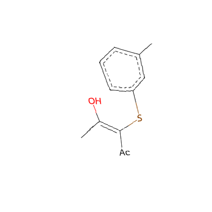 CC(=O)C(Sc1cccc(C)c1)=C(C)O